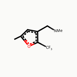 CNCc1cc(C)oc1C(F)(F)F